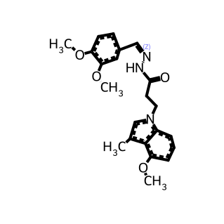 COc1ccc(/C=N\NC(=O)CCn2cc(C)c3c(OC)cccc32)cc1OC